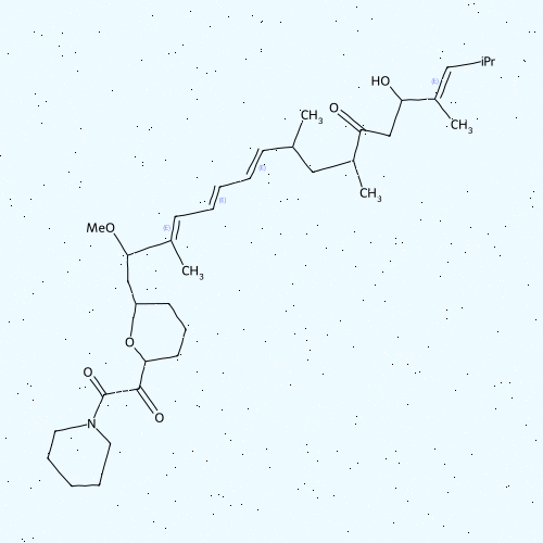 COC(CC1CCCC(C(=O)C(=O)N2CCCCC2)O1)/C(C)=C/C=C/C=C/C(C)CC(C)C(=O)CC(O)/C(C)=C/C(C)C